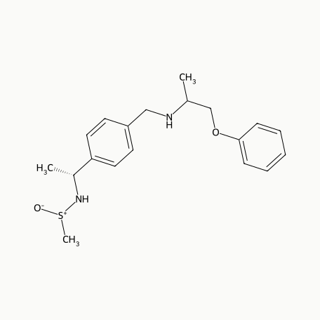 CC(COc1ccccc1)NCc1ccc([C@@H](C)N[S+](C)[O-])cc1